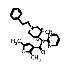 Cc1cc(C(=O)N(c2ncccn2)[C@H]2CCN(CCc3ccccc3)C[C@@H]2C)c(C)o1